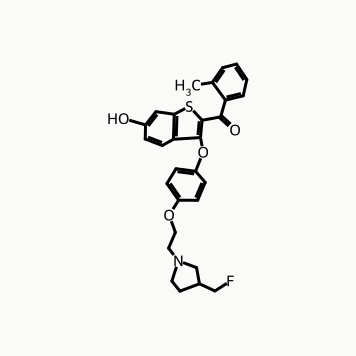 Cc1ccccc1C(=O)c1sc2cc(O)ccc2c1Oc1ccc(OCCN2CCC(CF)C2)cc1